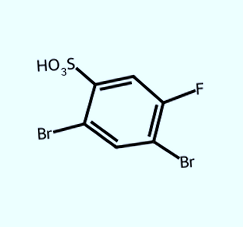 O=S(=O)(O)c1cc(F)c(Br)cc1Br